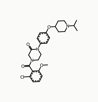 COc1cccc(Cl)c1C(=O)N1CCN(c2ccc(OC3CCN(C(C)C)CC3)cc2)C(=O)C1